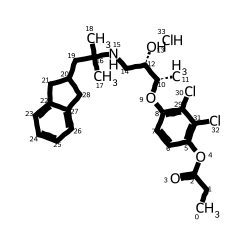 CCC(=O)Oc1ccc(O[C@@H](C)[C@@H](O)CNC(C)(C)CC2Cc3ccccc3C2)c(Cl)c1Cl.Cl